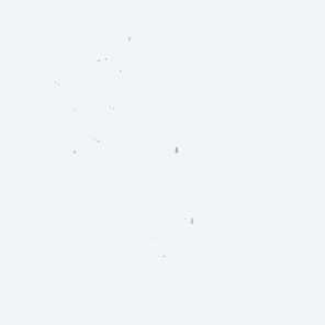 CCCCNc1nc(N)c2nc(O)n(Cc3ccc(NC(=O)CC[C@H](NC(=O)OCc4ccccc4)C(=O)OC)cc3)c2n1